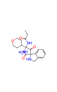 CCC(=O)NC(NC)(C(=O)C1(C(N)=O)NCc2ccccc21)C1CCOCC1